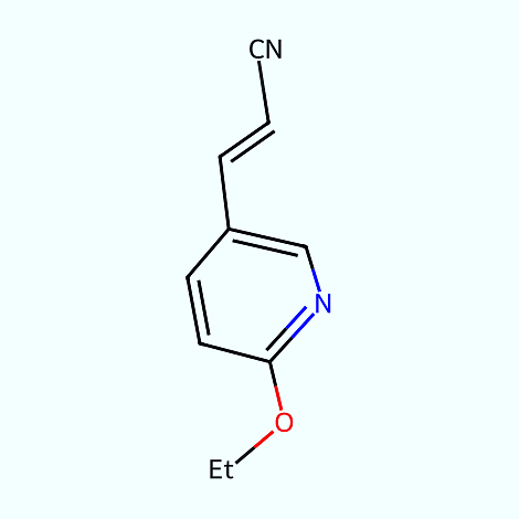 CCOc1ccc(/C=C/C#N)cn1